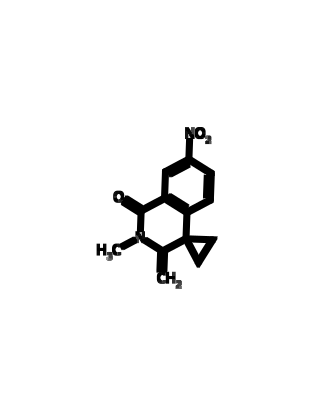 C=C1N(C)C(=O)c2cc([N+](=O)[O-])ccc2C12CC2